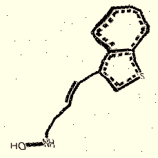 ONCC=Cc1csc2ccccc12